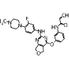 C=CC(=O)Nc1cccc(Oc2nc(Nc3ccc(N4CCN(C)CC4)c(F)c3)nc3c2COC3)c1